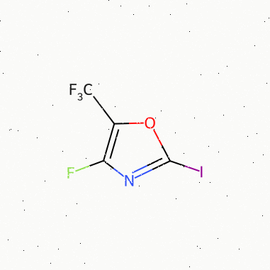 Fc1nc(I)oc1C(F)(F)F